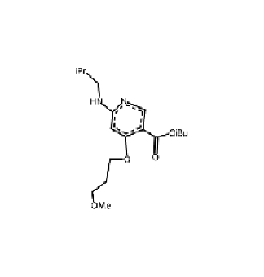 COCCCOc1cc(NCC(C)C)ncc1C(=O)OCC(C)C